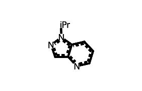 CC(C)n1ncc2ncccc21